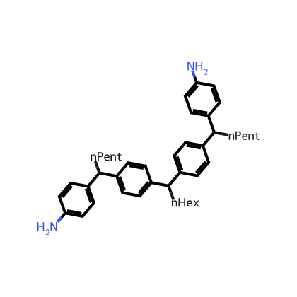 CCCCCCC(c1ccc(C(CCCCC)c2ccc(N)cc2)cc1)c1ccc(C(CCCCC)c2ccc(N)cc2)cc1